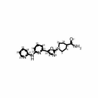 NC(=O)C1CCN(c2ncc(-c3cccc(Nc4ccccn4)n3)o2)CC1